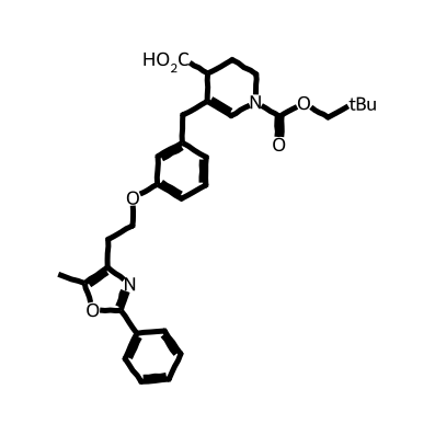 Cc1oc(-c2ccccc2)nc1CCOc1cccc(CC2=CN(C(=O)OCC(C)(C)C)CCC2C(=O)O)c1